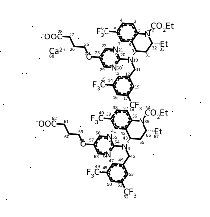 CCOC(=O)N1c2ccc(C(F)(F)F)cc2[C@@H](N(Cc2cc(C(F)(F)F)cc(C(F)(F)F)c2)c2ncc(OCCCC(=O)[O-])cn2)C[C@H]1CC.CCOC(=O)N1c2ccc(C(F)(F)F)cc2[C@@H](N(Cc2cc(C(F)(F)F)cc(C(F)(F)F)c2)c2ncc(OCCCC(=O)[O-])cn2)C[C@H]1CC.[Ca+2]